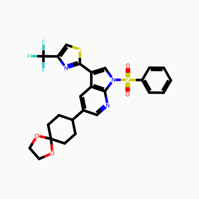 O=S(=O)(c1ccccc1)n1cc(-c2nc(C(F)(F)F)cs2)c2cc(C3CCC4(CC3)OCCO4)cnc21